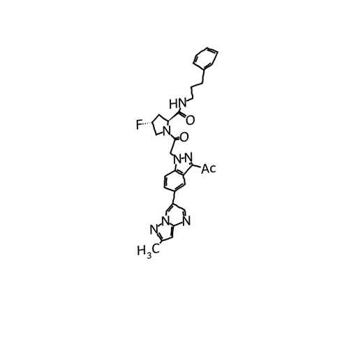 CC(=O)c1nn(CC(=O)N2C[C@H](F)C[C@H]2C(=O)NCCCc2ccccc2)c2ccc(-c3cnc4cc(C)nn4c3)cc12